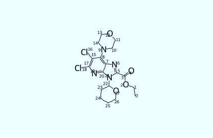 CCOC(=O)c1nc2c(N3CCOCC3)c(Cl)c(Cl)nc2n1C1CCCCO1